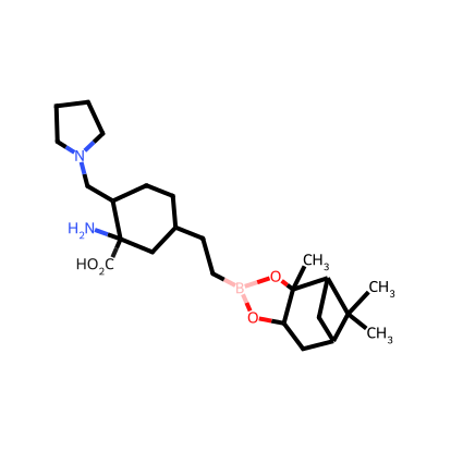 CC1(C)C2CC3OB(CCC4CCC(CN5CCCC5)C(N)(C(=O)O)C4)OC3(C)C1C2